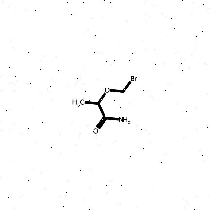 CC(OCBr)C(N)=O